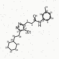 CCn1c(CCC(=O)Nc2cccc(C)c2)nnc1CCC1CCCCC1